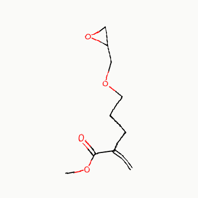 C=C(CCCOCC1CO1)C(=O)OC